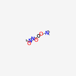 C[C@@H]1CCCN1CCCOc1ccc(C(=O)CN2CCN(C(=O)C3CC3)CC2)cc1